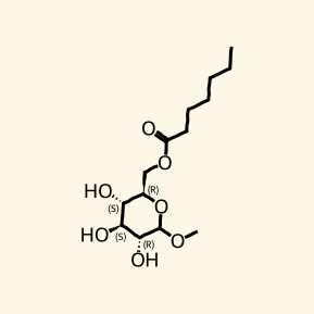 CCCCCCC(=O)OC[C@H]1OC(OC)[C@H](O)[C@@H](O)[C@@H]1O